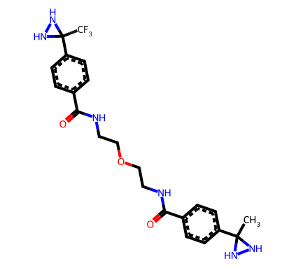 CC1(c2ccc(C(=O)NCCOCCNC(=O)c3ccc(C4(C(F)(F)F)NN4)cc3)cc2)NN1